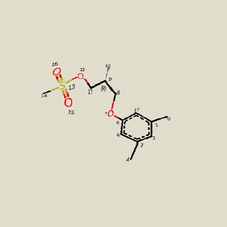 Cc1cc(C)cc(OC[C@@H](C)COS(C)(=O)=O)c1